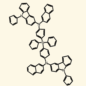 c1ccc(-n2c3ccccc3c3cc(N(c4ccc([Si](c5ccccc5)(c5ccccc5)c5ccc(N(c6ccc7ccccc7c6)c6ccc7c(c6)c6ccccc6n7-c6ccccc6)cc5)cc4)c4ccc5ccccc5c4)ccc32)cc1